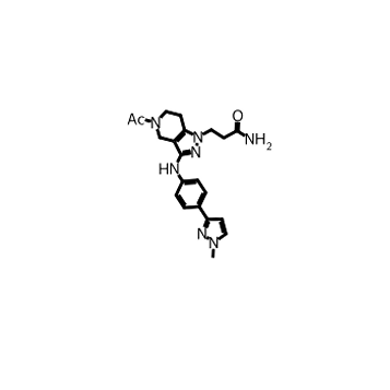 CC(=O)N1CCc2c(c(Nc3ccc(-c4ccn(C)n4)cc3)nn2CCC(N)=O)C1